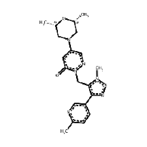 Cc1ccc(-c2nnn(C)c2Cn2ncc(N3C[C@@H](C)O[C@@H](C)C3)cc2=O)cn1